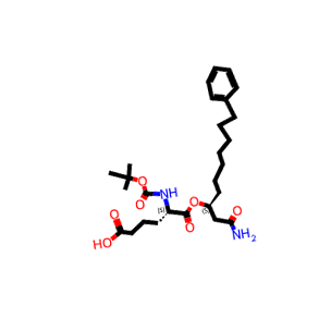 CC(C)(C)OC(=O)N[C@@H](CCCC(=O)O)C(=O)O[C@@H](CCCCCCCc1ccccc1)CC(N)=O